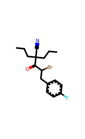 CCCC(C#N)(CCC)C(=O)C(Br)Cc1ccc(F)cc1